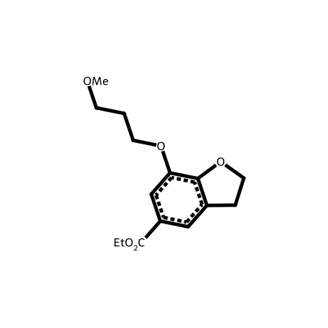 CCOC(=O)c1cc2c(c(OCCCOC)c1)OCC2